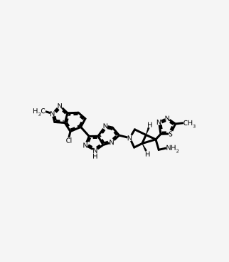 Cc1nnc(C2(CN)[C@@H]3CN(c4cnc5c(-c6ccc7nn(C)cc7c6Cl)n[nH]c5n4)C[C@@H]32)s1